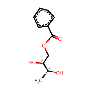 O=C(OC[C@H](O)[C@@H](O)C(F)(F)F)c1ccccc1